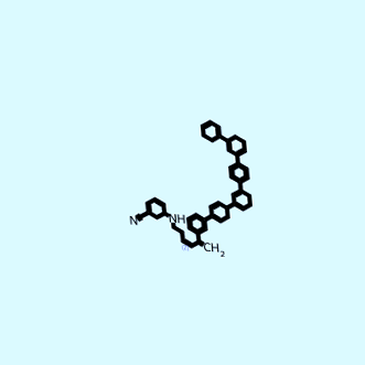 C=C(/C=C\CCNC1C=CC=C(C#N)C1)c1cccc(C2=CCC(C3=CCCC(c4ccc(C5=CCCC(C6=CC=CCC6)=C5)cc4)=C3)C=C2)c1